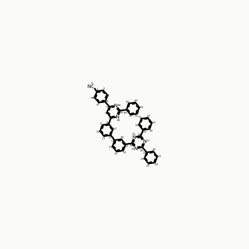 N#Cc1ccc(-c2cc(-c3cccc(-c4cccc(-c5nc(-c6ccccc6)nc(-c6ccccc6)n5)c4)c3)nc(-c3ccccc3)n2)cc1